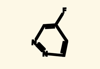 Fc1ccnnc1